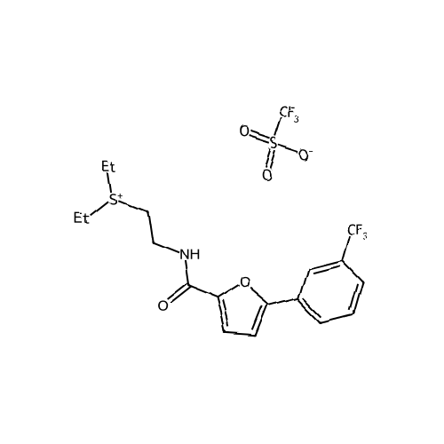 CC[S+](CC)CCNC(=O)c1ccc(-c2cccc(C(F)(F)F)c2)o1.O=S(=O)([O-])C(F)(F)F